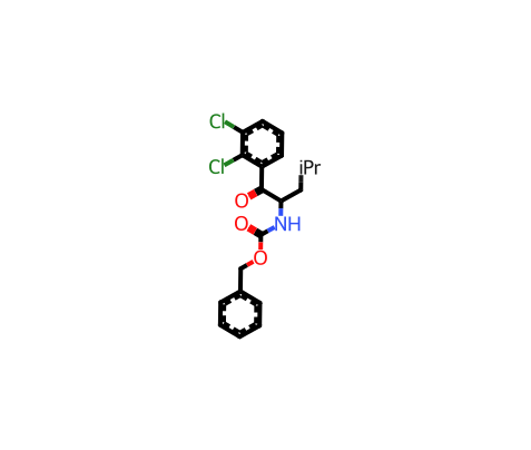 CC(C)CC(NC(=O)OCc1ccccc1)C(=O)c1cccc(Cl)c1Cl